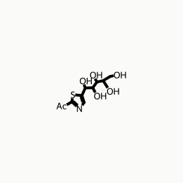 CC(=O)c1ncc(C(O)C(O)C(O)C(O)CO)s1